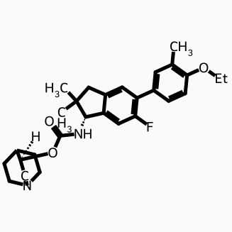 CCOc1ccc(-c2cc3c(cc2F)[C@H](NC(=O)O[C@H]2CN4CCC2CC4)C(C)(C)C3)cc1C